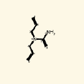 C=CCN(CC=C)C(=C)N